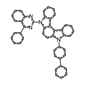 c1ccc(-c2ccc(-n3c4ccccc4c4c5c6ccccc6n(-c6nc(-c7ccccc7)c7ccccc7n6)c5ccc43)cc2)cc1